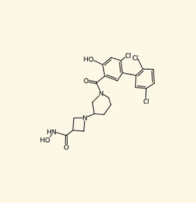 O=C(NO)C1CN(C2CCCN(C(=O)c3cc(-c4cc(Cl)ccc4Cl)c(Cl)cc3O)C2)C1